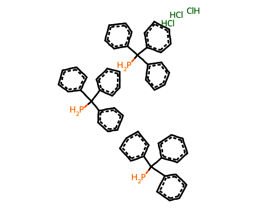 Cl.Cl.Cl.PC(c1ccccc1)(c1ccccc1)c1ccccc1.PC(c1ccccc1)(c1ccccc1)c1ccccc1.PC(c1ccccc1)(c1ccccc1)c1ccccc1